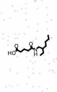 CCCCC(CC)CNC(=O)CCCC(=O)O